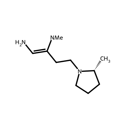 CN/C(=C\N)CCN1CCC[C@H]1C